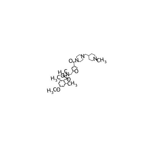 COc1cc(C)c(S(=O)(=O)N(C)Cc2cc(C(=O)N3CCN(CC4CCN(C)CC4)CC3)co2)c(C)c1